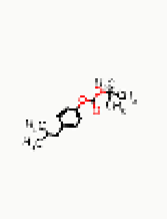 CC(C)Cc1ccc(OC(=O)OC(C)(C)C)cc1